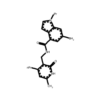 Bc1cc(C(=O)NCc2c(CCC)cc(C)[nH]c2=O)c2ccn(C(C)C)c2c1